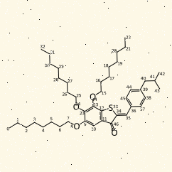 CCCCCCCCOc1cc2c(c(OCCCCCCCC)c1OCCCCCCCC)SC(=Cc1ccc(CC(C)C)cc1)C2=O